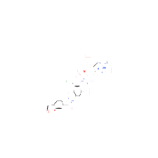 CC(C)N1C=CC(C[C@H](NC(=O)c2c(Cl)cc3c(c2Cl)CCN(C(=O)c2ccc4ccoc4c2)C3)C(=O)O)N1